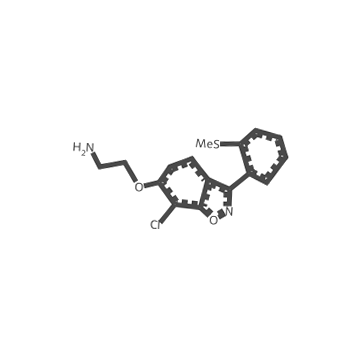 CSc1ccccc1-c1noc2c(Cl)c(OCCN)ccc12